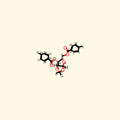 Cc1ccc(C(=O)OC[C@H]2O[C@@H]3OC(C)(C)O[C@@H]3[C@H]2OC(=O)c2ccc(C)cc2)cc1